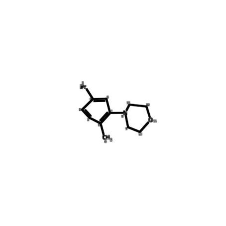 Cc1ccc(C(C)C)cc1N1CCOCC1